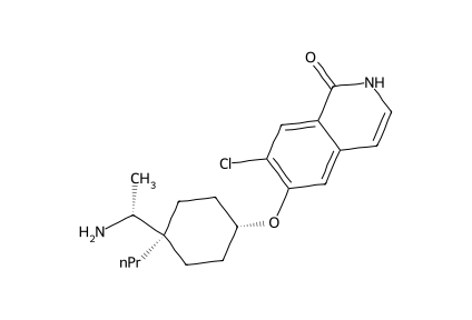 CCC[C@]1([C@@H](C)N)CC[C@H](Oc2cc3cc[nH]c(=O)c3cc2Cl)CC1